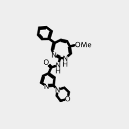 COc1ccc(-c2ccccc2)cnc(NC(=O)c2ccnc(N3CCOCC3)c2)[nH]c1